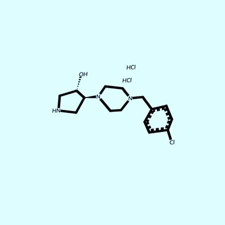 Cl.Cl.O[C@H]1CNC[C@@H]1N1CCN(Cc2ccc(Cl)cc2)CC1